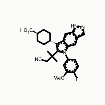 COc1cc(-n2c(C(C)(C)CC#N)c([C@H]3CC[C@H](C(=O)O)CC3)c3cc4[nH]ncc4cc32)ccc1F